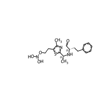 Cc1nc([C@H](C)N[C@H](C=O)CCc2ccccc2)sc1CCON(O)O